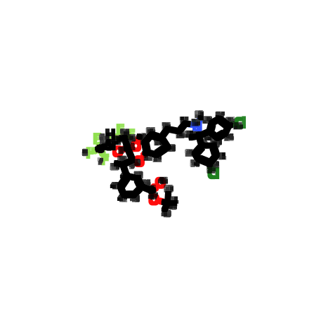 COC(O[SiH2]C(F)(F)F)(C(Oc1ccc(CCCN(C)C(C)(c2ccc(Cl)cc2)c2ccc(Cl)cc2)cc1)C(C)c1cccc(C(=O)OC(C)(C)C)c1)C(F)(F)F